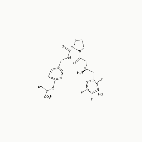 CC(C)C(Oc1ccc(CNC(=O)[C@@H]2SCCN2C(=O)C[C@H](N)Cc2cc(F)c(F)cc2F)cc1)C(=O)O.Cl